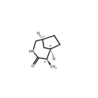 C[C@H]1C(=O)NC[C@H]2CC[C@@H]1C2